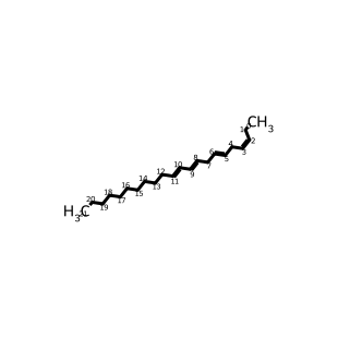 CC/C=C\CC=CCC=CC=CCCCCCCCCCC